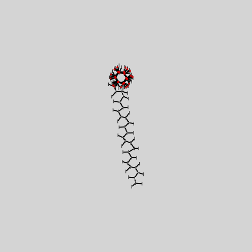 II(I)I(I)I(I)I(I)I(I)I(I)I(I)I(I)I(I)I(I)I(I)I(I)I(I)I(I)I(I)I(I)I(I)I(I)I(I)I(I)I(I)I(I)I(I)I(I)I(I)I(I)I(I)I(I)I(I)I(I)I(I)I(I)I(I)I(I)I(I)I(I)I(I)I(I)I(I)I(I)I(I)I(I)I(I)I(I)I(I)I(I)I(I)I(I)I(I)I(I)I(I)I(I)I(I)I(I)I(I)I(I)I(I)I(I)I(I)I(I)I(I)I(I)I(I)I(I)I(I)I(I)I(I)I(I)I(I)I